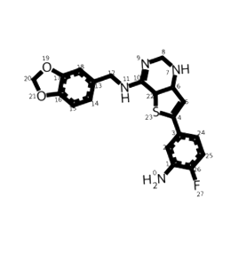 Nc1cc(C2=CC3NCN=C(NCc4ccc5c(c4)OCO5)C3S2)ccc1F